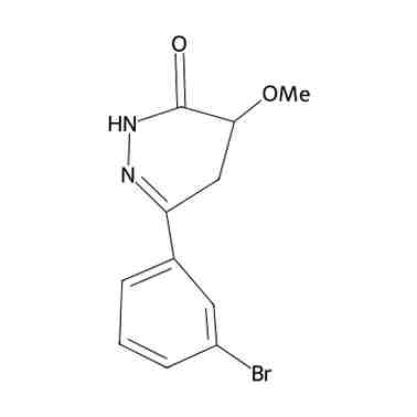 COC1CC(c2cccc(Br)c2)=NNC1=O